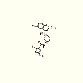 CCc1nn(C)cc1C(=O)N[C@@H]1CCC[C@H](Nc2cc(C(F)(F)F)nc3ccc(Cl)cc23)C1